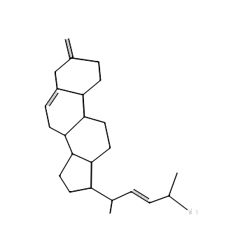 CC(C)C(C)/C=C/C(C)C1CCC2C1CCC1C3CCC(=O)CC3=CCC12